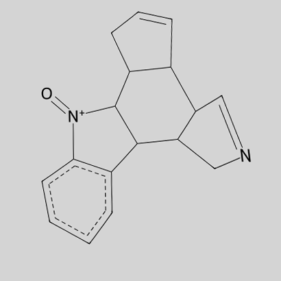 O=[N+]1c2ccccc2C2C3CN=CC3C3C=CCC3C21